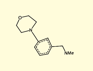 CNCc1cccc(N2CCOCC2)c1